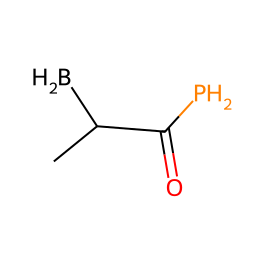 BC(C)C(=O)P